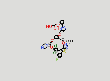 Cc1c(Cl)c2c(Cl)c(C)c1-c1c(-c3ccc(F)cc3)sc3ncnc(c13)O[C@@H](C(=O)O)Cc1cc(ccc1OCc1ccnc(-c3ccccc3OC[C@H](O)CO)n1)OC[C@@H](CN1CCN(C)CC1)O2